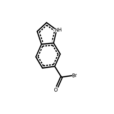 O=C(Br)c1ccc2cc[nH]c2c1